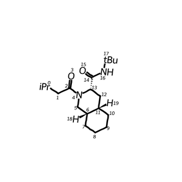 CC(C)CC(=O)N1C[C@H]2CCCC[C@H]2C[C@H]1C(=O)NC(C)(C)C